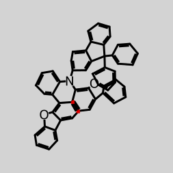 c1ccc(C2(c3ccccc3)c3ccccc3-c3ccc(N(c4ccccc4-c4cccc5c4oc4ccccc45)c4cccc5c4oc4ccccc45)cc32)cc1